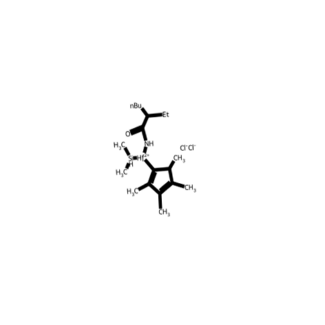 CCCCC(CC)C(=O)[NH][Hf+2]([C]1=C(C)C(C)=C(C)C1C)[SiH](C)C.[Cl-].[Cl-]